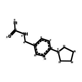 CCC(=O)NCc1ccc(N2CCCC2)nc1